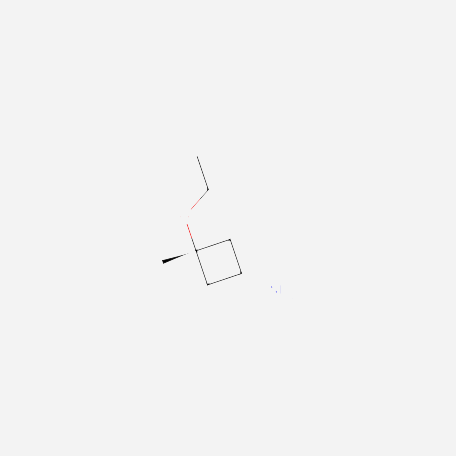 CCO[C@]1(C)C[C@H](N)C1